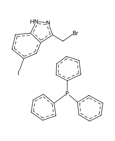 BrCc1n[nH]c2ccc(I)cc12.c1ccc(P(c2ccccc2)c2ccccc2)cc1